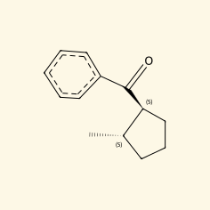 C[C@H]1CCC[C@@H]1C(=O)c1ccccc1